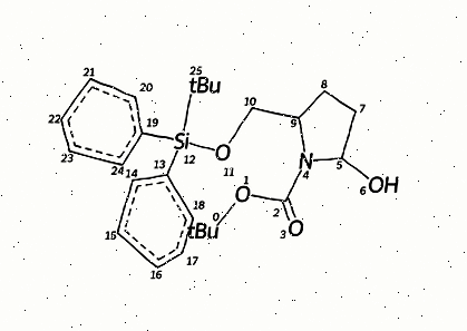 CC(C)(C)OC(=O)N1C(O)CCC1CO[Si](c1ccccc1)(c1ccccc1)C(C)(C)C